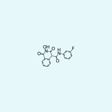 O=C(Nc1cccc(F)c1)C1C(=O)N(O)C(=O)c2ccccc21